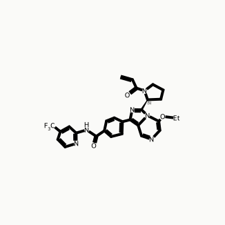 C=CC(=O)N1CCC[C@H]1c1nc(-c2ccc(C(=O)Nc3cc(C(F)(F)F)ccn3)cc2)c2cncc(OCC)n12